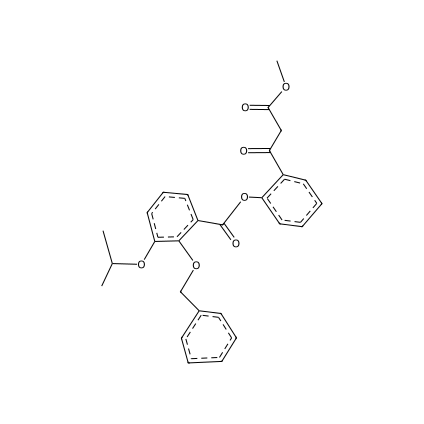 COC(=O)CC(=O)c1ccccc1OC(=O)c1cccc(OC(C)C)c1OCc1ccccc1